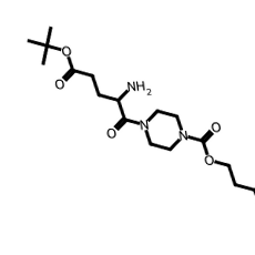 CCCCOC(=O)N1CCN(C(=O)C(N)CCC(=O)OC(C)(C)C)CC1